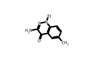 CCn1nc(N)c(=O)c2cc(C)ccc21